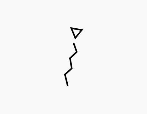 C1CC1.CCCCCC